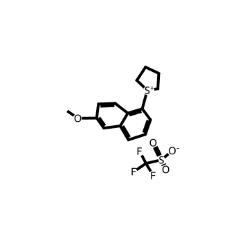 COc1ccc2c([S+]3CCCC3)cccc2c1.O=S(=O)([O-])C(F)(F)F